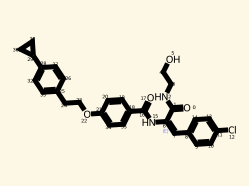 O=C(NCCO)/C(=C\c1ccc(Cl)cc1)NC(=O)c1ccc(OCCc2ccc(C3CC3)cc2)cc1